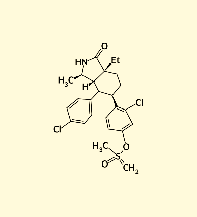 C=S(C)(=O)Oc1ccc([C@@H]2CC[C@@]3(CC)C(=O)N[C@H](C)[C@H]3C2c2ccc(Cl)cc2)c(Cl)c1